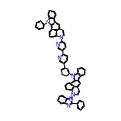 C1=CN(n2c(-c3ccccc3)nc3ccccc32)c2cccc3c2c1cc1c2ccccc2n(C2=CC(c4ccc(-c5ccc(N6C=Cc7cc8c9ccccc9n(-c9ccccc9)c8c8cccc6c78)nc5)nc4)=CCC2)c31